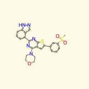 CS(=O)(=O)c1cccc(-c2cc3c(N4CCOCC4)nc(-c4cccc5[nH]ncc45)nc3s2)c1